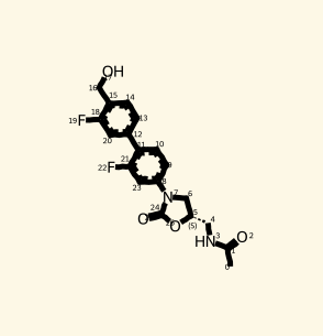 CC(=O)NC[C@H]1CN(c2ccc(-c3ccc(CO)c(F)c3)c(F)c2)C(=O)O1